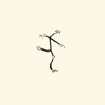 CC(C)COC(=O)C(C)(C)S